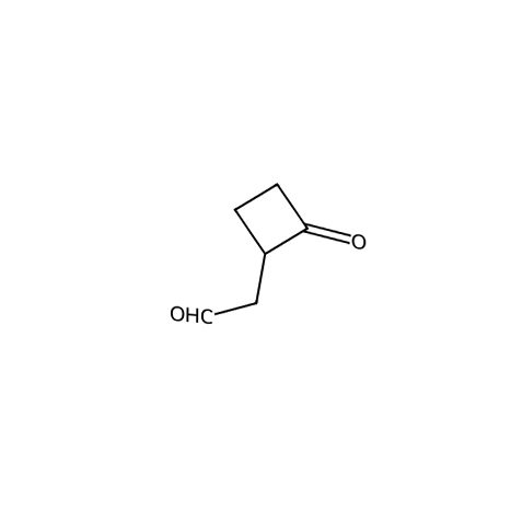 O=CCC1CCC1=O